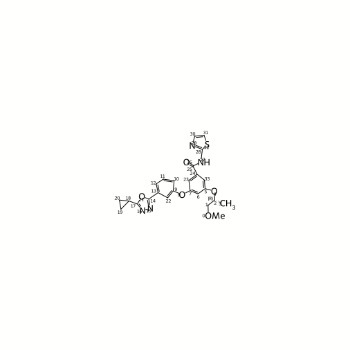 COC[C@@H](C)Oc1cc(Oc2cccc(-c3nnc(C4CC4)o3)c2)cc(C(=O)Nc2nccs2)c1